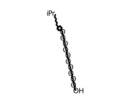 CC(C)CCCCCCc1ccc(OCCOCCOCCOCCOCCOCCOCCOCCOCCOCCO)cc1